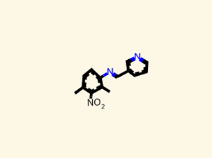 Cc1ccc(N=Cc2cccnc2)c(C)c1[N+](=O)[O-]